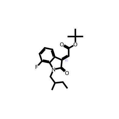 CCC(C)CN1C(=O)/C(=C/C(=O)OC(C)(C)C)c2cccc(F)c21